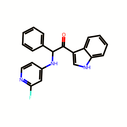 O=C(c1c[nH]c2ccccc12)C(Nc1ccnc(F)c1)c1ccccc1